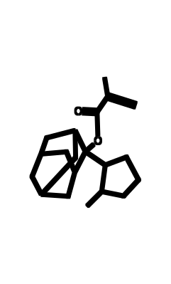 C=C(C)C(=O)OC1(C2CCCC2C)C2CC3CC(C2)CC1C3